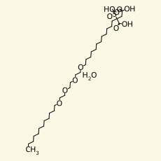 CCCCCCCCCCCCOCCOCCOCCOCCCCCCCCCCCCC(CC(=O)O)(C(=O)O)S(=O)(=O)O.O